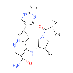 CC[C@@H]1CN(C(=O)C2(C#N)CC2)C[C@H]1Nc1c(C(N)=O)cnn2cc(-c3cnc(C)nc3)cc12